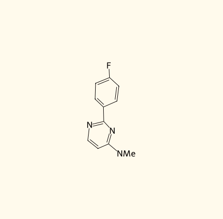 CNc1ccnc(-c2ccc(F)cc2)n1